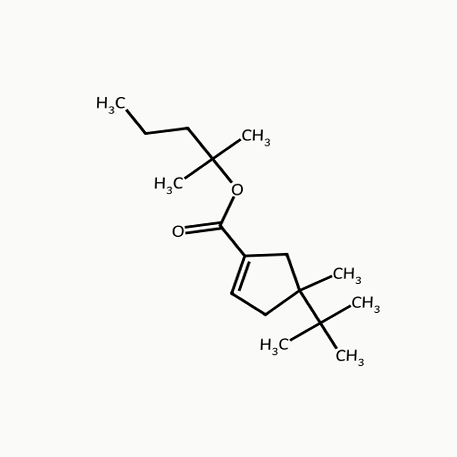 CCCC(C)(C)OC(=O)C1=CCC(C)(C(C)(C)C)C1